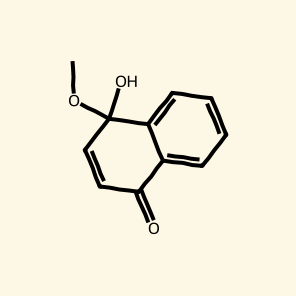 COC1(O)C=CC(=O)c2ccccc21